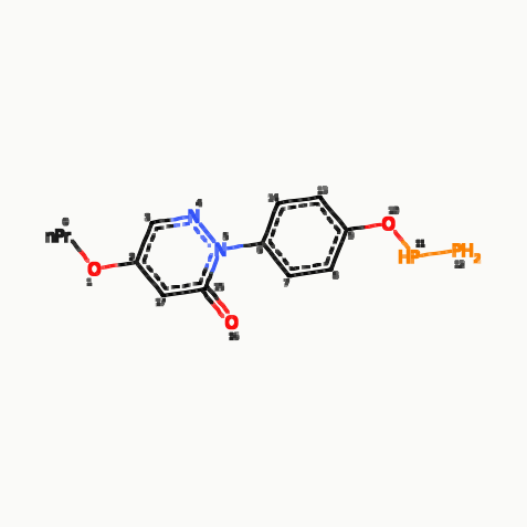 CCCOc1cnn(-c2ccc(OPP)cc2)c(=O)c1